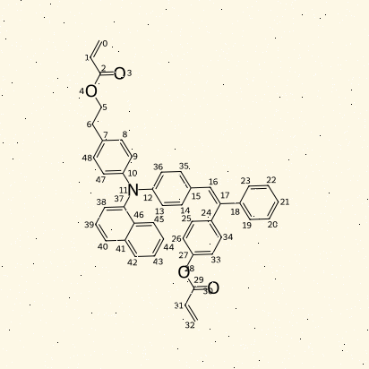 C=CC(=O)OCCc1ccc(N(c2ccc(C=C(c3ccccc3)c3ccc(OC(=O)C=C)cc3)cc2)c2cccc3ccccc23)cc1